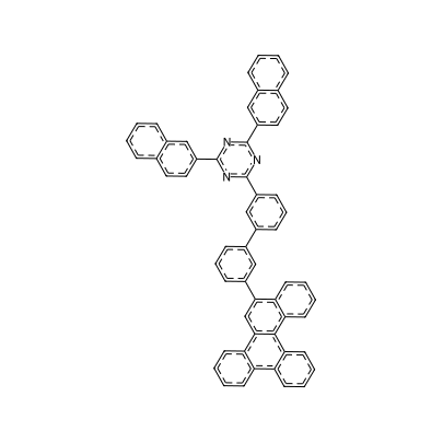 c1cc(-c2cccc(-c3cc4c5ccccc5c5ccccc5c4c4ccccc34)c2)cc(-c2nc(-c3ccc4ccccc4c3)nc(-c3ccc4ccccc4c3)n2)c1